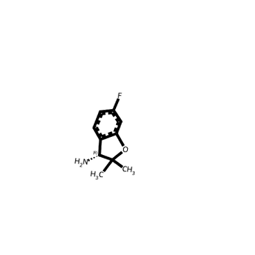 CC1(C)Oc2cc(F)ccc2[C@H]1N